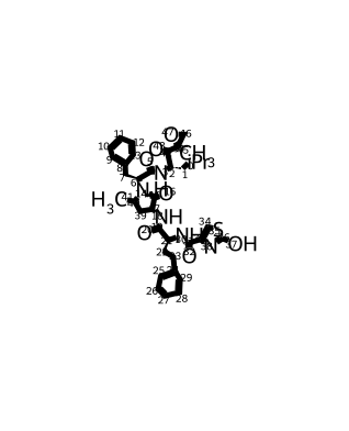 CC(C)C[C@H](NC(=O)[C@H](Cc1ccccc1)N1C(=O)[C@@H](NC(=O)[C@H](CCc2ccccc2)NC(=O)c2csc(O)n2)CC1C)C(=O)C1(C)CO1